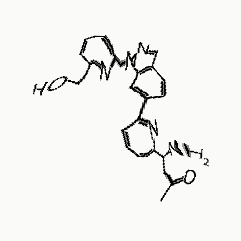 CC(=O)C[C@H](N)c1cccc(-c2ccc3cnn(-c4cccc(CO)n4)c3c2)n1